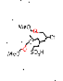 CCC(CCOCOC)CC(CCS(=O)(=O)O)CC(C)CCOCOC